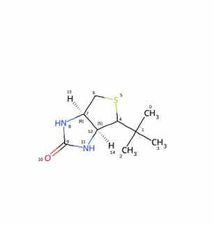 CC(C)(C)C1SC[C@@H]2NC(=O)N[C@H]12